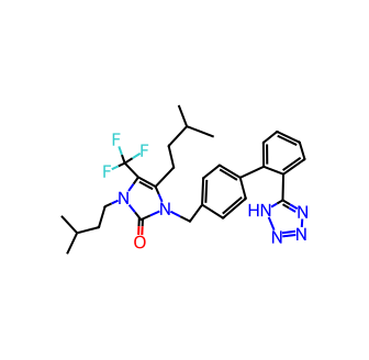 CC(C)CCc1c(C(F)(F)F)n(CCC(C)C)c(=O)n1Cc1ccc(-c2ccccc2-c2nnn[nH]2)cc1